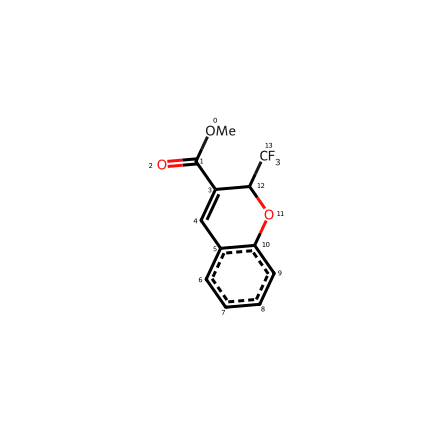 COC(=O)C1=Cc2ccccc2OC1C(F)(F)F